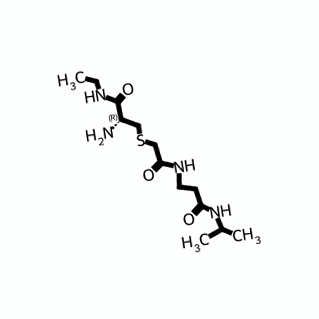 CCNC(=O)[C@@H](N)CSCC(=O)NCCC(=O)NC(C)C